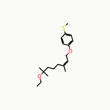 CCOC(C)(C)CCCC(C)=C[CH]Oc1ccc(SC)cc1